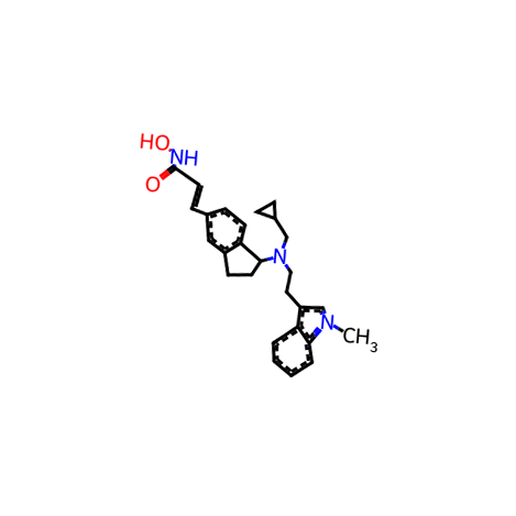 Cn1cc(CCN(CC2CC2)C2CCc3cc(C=CC(=O)NO)ccc32)c2ccccc21